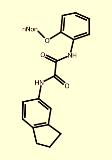 CCCCCCCCCOc1ccccc1NC(=O)C(=O)Nc1ccc2c(c1)CCC2